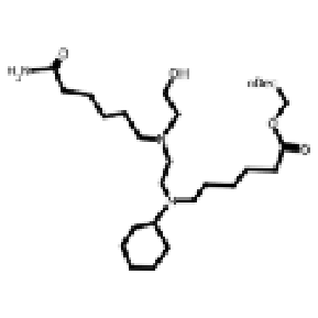 CCCCCCCCCCCOC(=O)CCCCCN(CCN(CCO)CCCCCC(N)=O)C1CCCCC1